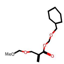 C=C(COCOC)C(=O)OCOCC1CCCCC1